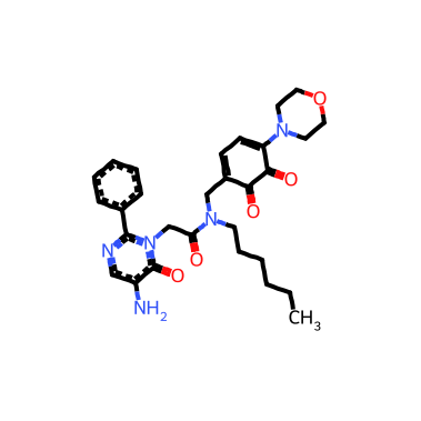 CCCCCCN(CC1=CC=C(N2CCOCC2)C(=O)C1=O)C(=O)Cn1c(-c2ccccc2)ncc(N)c1=O